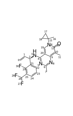 C=C[C@@H](Nc1nc(C)nc2c(C)c(=O)n(C3(C)CC3)cc12)c1cccc(C(F)F)c1F